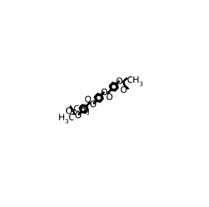 CCC(Oc1ccc(C(=O)Oc2ccc(OC(=O)c3ccc(OC(C)C4(C)CO4)cc3)cc2)cc1)C1CO1